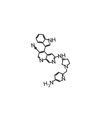 N#Cc1cnc2cnc(N[C@@H]3CCN(Cc4ccc(N)cn4)C3)cc2c1-c1c[nH]c2ccccc12